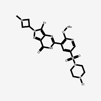 CCCCOc1ncc(S(=O)(=O)N2CCN(CC)CC2)cc1-c1nc2c(CC)n(C3CN(C)C3)nc2c(=O)[nH]1